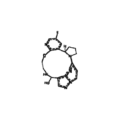 OC1NCCOc2ncc(F)cc2[C@H]2CCCN2c2ccn3ncc1c3n2